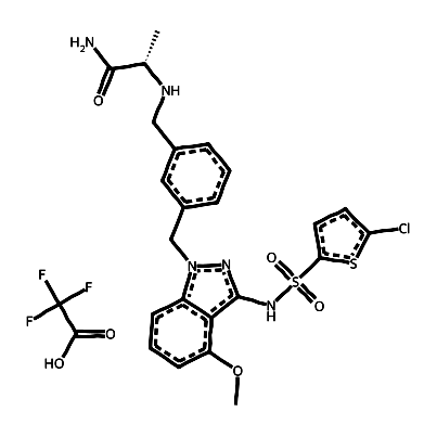 COc1cccc2c1c(NS(=O)(=O)c1ccc(Cl)s1)nn2Cc1cccc(CN[C@@H](C)C(N)=O)c1.O=C(O)C(F)(F)F